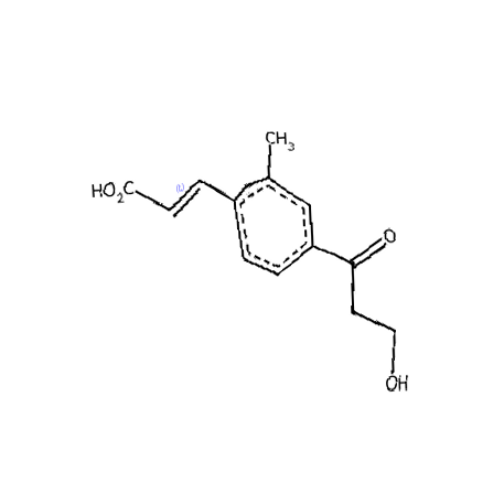 Cc1cc(C(=O)CCO)ccc1/C=C/C(=O)O